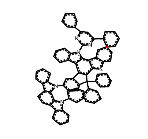 c1ccc(-c2cc(-c3ccccc3)nc(-n3c4ccccc4c4c5c(c6sc7ccccc7c6c43)C(c3ccccc3)(c3ccccc3)c3ccc(-n4c6ccccc6c6ccc7c8ccccc8n(-c8ccccc8)c7c64)cc3-5)n2)cc1